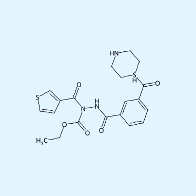 CCOC(=O)N(NC(=O)c1cccc(C(=O)[SH]2CCNCC2)c1)C(=O)c1ccsc1